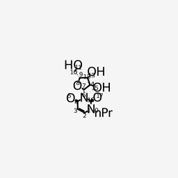 CCCn1ccc(=O)n([C@@H]2O[C@H](CO)[C@H](O)[C@H]2O)c1=O